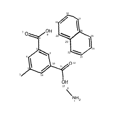 CN.Cc1cc(C(=O)O)cc(C(=O)O)c1.c1ccc2ccccc2c1